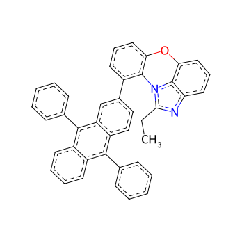 CCc1nc2cccc3c2n1-c1c(cccc1-c1ccc2c(-c4ccccc4)c4ccccc4c(-c4ccccc4)c2c1)O3